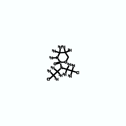 [2H]N1C([2H])([2H])C([2H])([2H])COP1(=O)N(C([2H])([2H])C([2H])([2H])Cl)C([2H])([2H])C([2H])([2H])Cl